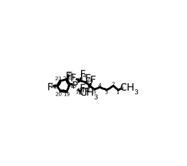 CCCCCCC(F)(F)C(F)(F)C(F)(F)P(CC)c1ccc(F)cc1F